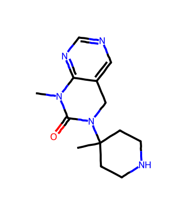 CN1C(=O)N(C2(C)CCNCC2)Cc2cncnc21